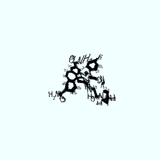 N#C[C@@H]1C[C@@H]2C[C@@H]2N1C(=O)CNCCC1(c2nn(-c3ccc(F)cc3)c(=O)[nH]2)c2ccc(C(N)=O)cc2CCc2cc(C(N)=O)ccc21